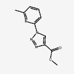 COC(=O)c1cn(-c2cccc(C)n2)nn1